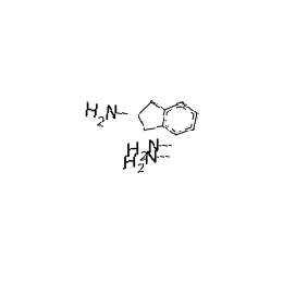 CN.CN.CN.c1ccc2c(c1)CCC2